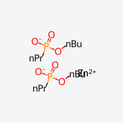 CCCCOP(=O)([O-])CCC.CCCCOP(=O)([O-])CCC.[Zn+2]